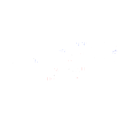 O=C(NCCC1CCN(Cc2ccccc2)CC1)c1nnc(-c2ccc([N+](=O)[O-])cc2)o1.O=C(O)C=CC(=O)O